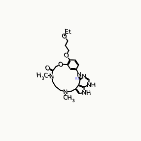 CCOCCCOc1ccc2cc1OCC(=O)N(C)CCCN(C)Cc1c[nH]c3c1/C(=N\2)N=CN3